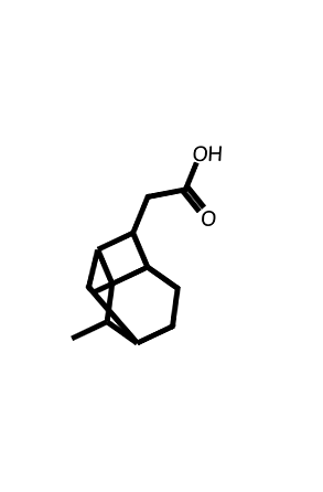 CC1C2CCC3C(CC(=O)O)C(C2)C13C